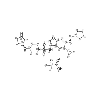 O=C(O)C(F)(F)F.O=S(=O)(Nc1noc2cc(OCC3CCCC3)c(C3CC3)cc12)N1CCC(O[C@H]2CCNC2)CC1